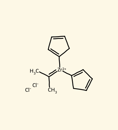 C[C](C)=[Zr+2]([C]1=CC=CC1)[C]1=CC=CC1.[Cl-].[Cl-]